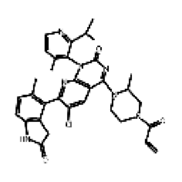 C=CC(=O)N1CCN(c2nc(=O)n(-c3c(C)ccnc3C(C)C)c3nc(-c4c(C)ccc5c4CC(=O)N5)c(Cl)cc23)C(C)C1